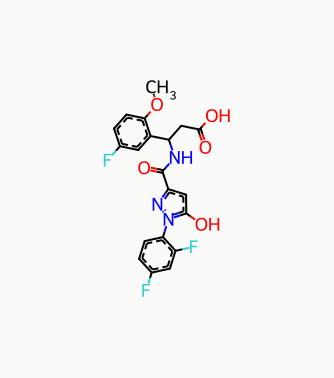 COc1ccc(F)cc1C(CC(=O)O)NC(=O)c1cc(O)n(-c2ccc(F)cc2F)n1